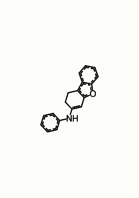 C1=C(Nc2ccccc2)CCc2c1oc1ccccc21